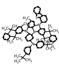 Cc1cc2c3c(c1)N(c1cccc4c1sc1ccccc14)c1cc4c(cc1B3c1cc(N(c3ccc(C(C)(C)C)cc3)c3ccc(C(C)(C)C)cc3)ccc1N2c1cc2c(cc1C)C(C)(C)c1ccccc1C2(C)C)C(C)(C)c1ccccc1C4(C)C